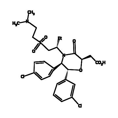 CC[C@@H](CS(=O)(=O)CCN(C)C)N1C(=O)[C@@H](CC(=O)O)O[C@H](c2cccc(Cl)c2)[C@H]1c1ccc(Cl)cc1